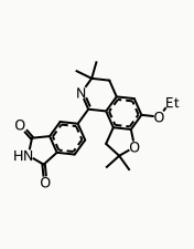 CCOc1cc2c(c3c1OC(C)(C)C3)C(c1ccc3c(c1)C(=O)NC3=O)=NC(C)(C)C2